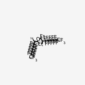 CCC(OC(CC)C(C)C(F)(F)C(F)(F)C(F)(F)C(F)(F)C(F)(F)C(F)(F)F)C(C)C(F)(F)C(F)(F)C(F)(F)C(F)(F)C(F)(F)C(F)(F)F